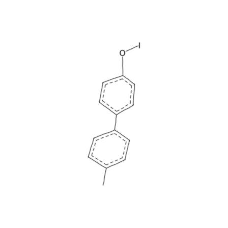 Cc1ccc(-c2ccc(OI)cc2)cc1